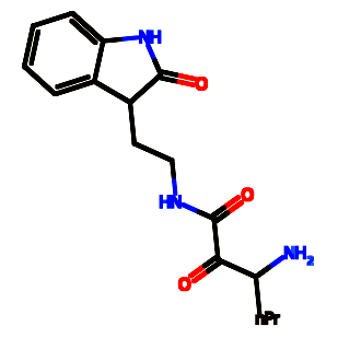 CCCC(N)C(=O)C(=O)NCCC1C(=O)Nc2ccccc21